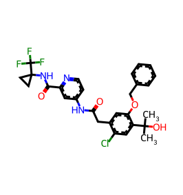 CC(C)(O)c1cc(Cl)c(CC(=O)Nc2ccnc(C(=O)NC3(C(F)(F)F)CC3)c2)cc1OCc1ccccc1